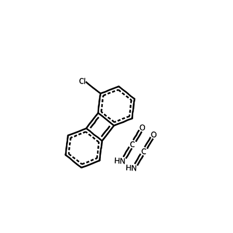 Clc1cccc2c1=c1ccccc1=2.N=C=O.N=C=O